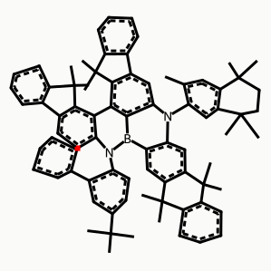 Cc1cc2c(cc1N1c3cc4c(cc3B3c5c1cc1c(c5-c5c(ccc6c5C(C)(C)c5ccccc5-6)N3c3ccc(C(C)(C)C)cc3-c3ccccc3)C(C)(C)c3ccccc3-1)C(C)(C)c1ccccc1C4(C)C)C(C)(C)CCC2(C)C